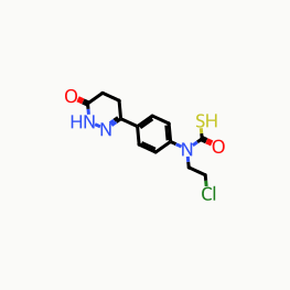 O=C1CCC(c2ccc(N(CCCl)C(=O)S)cc2)=NN1